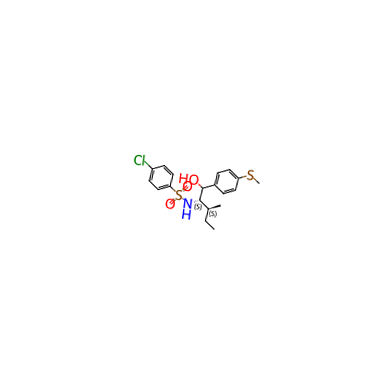 CC[C@H](C)[C@H](NS(=O)(=O)c1ccc(Cl)cc1)C(O)c1ccc(SC)cc1